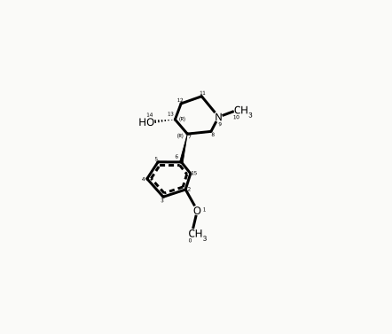 COc1cccc([C@@H]2CN(C)CC[C@H]2O)c1